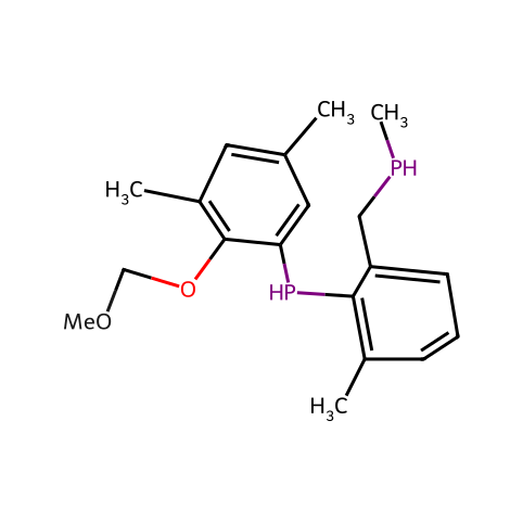 COCOc1c(C)cc(C)cc1Pc1c(C)cccc1CPC